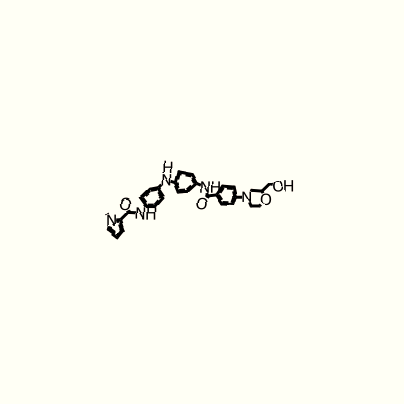 Cn1cccc1C(=O)Nc1ccc(Nc2ccc(NC(=O)c3ccc(N4CCOC(CO)C4)cc3)cc2)cc1